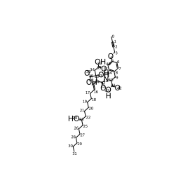 CC#CCOc1ccc(C[C@H](NC(=O)C(/C=C/CCCCCCC(O)CCCCCCC)[C@@](O)(CC(=O)O)C(=O)O)C(=O)O)cc1